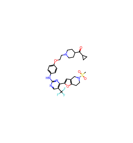 CS(=O)(=O)N1CCc2oc(-c3nc(Nc4ccc(OCCN5CCC(C(=O)C6CC6)CC5)cc4)ncc3C(F)(F)F)cc2C1